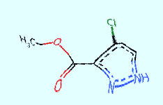 COC(=O)c1n[nH]cc1Cl